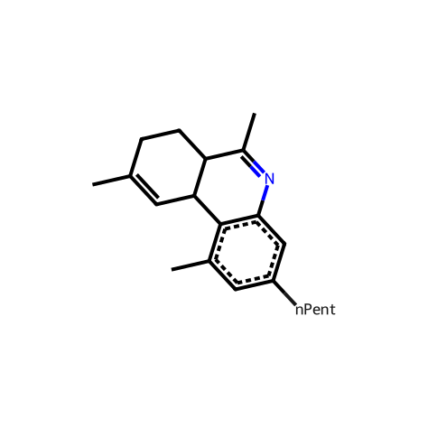 CCCCCc1cc(C)c2c(c1)N=C(C)C1CCC(C)=CC21